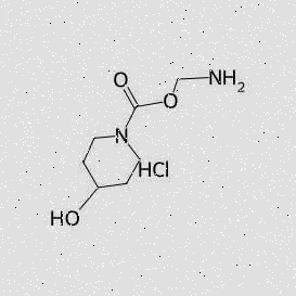 Cl.NCOC(=O)N1CCC(O)CC1